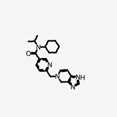 CC(C)N(C(=O)c1ccc(CN2C=Cc3[nH]cnc3C2)nc1)C1CCCCC1